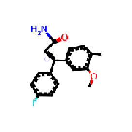 COc1cc(/C(=C\C(N)=O)c2ccc(F)cc2)ccc1C